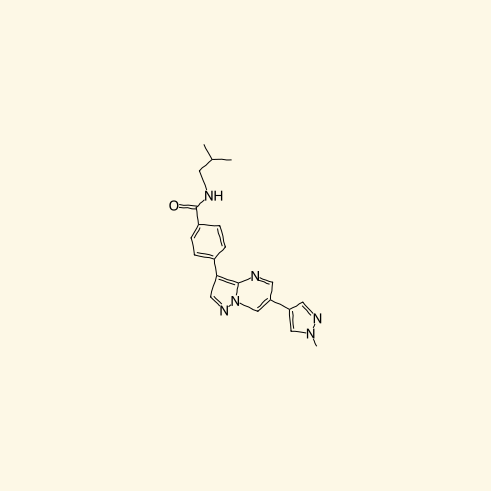 CC(C)CNC(=O)c1ccc(-c2cnn3cc(-c4cnn(C)c4)cnc23)cc1